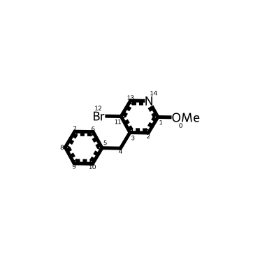 COc1cc(Cc2ccccc2)c(Br)cn1